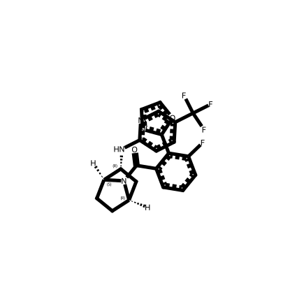 O=C(c1cccc(F)c1-c1ncco1)N1[C@@H]2CC[C@H]1[C@H](Nc1ccc(C(F)(F)F)cn1)C2